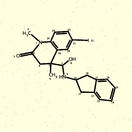 CN1C(=O)CC(C)(C(O)NC2Cc3ccccc3C2)c2cc(I)ccc21